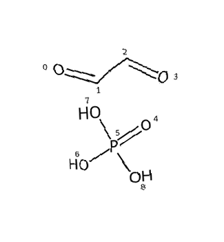 O=CC=O.O=P(O)(O)O